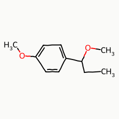 CCC(OC)c1ccc(OC)cc1